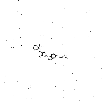 Cc1nsc(COc2ccc3c(c2)CCN3c2ncc(C(=O)NC3(C(=O)O)CCCCC3)c(C(F)(F)F)n2)n1